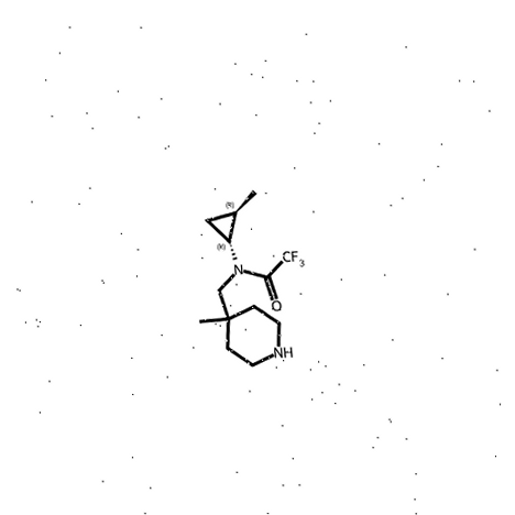 C[C@@H]1C[C@H]1N(CC1(C)CCNCC1)C(=O)C(F)(F)F